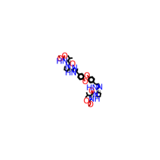 COC(=O)N[C@H](C(=O)N1CCC[C@H]1c1ncc(-c2ccc3c(c2)Oc2ccc(-c4cnc([C@@H]5CCCN5C(=O)[C@@H](NC(=O)OC)C(C)C)[nH]4)cc2O3)[nH]1)C(C)C